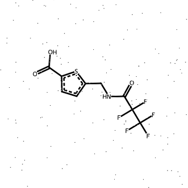 O=C(O)c1ccc(CNC(=O)C(F)(F)C(F)(F)F)s1